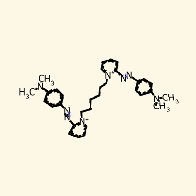 CN(C)c1ccc(/N=N/c2cccc[n+]2CCCCCC[n+]2ccccc2/N=N/c2ccc(N(C)C)cc2)cc1